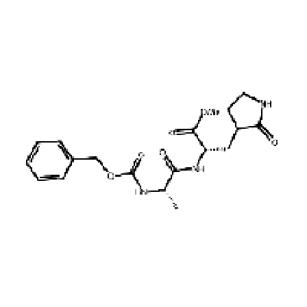 COC(=O)[C@H](CC1CCNC1=O)NC(=O)[C@H](C)NC(=O)OCc1ccccc1